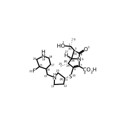 C[C@@H](O)[C@H]1C(=O)N2C(C(=O)O)=C(S[C@@H]3CCN(CC4CCNCC4F)C3)[C@H](C)[C@H]12